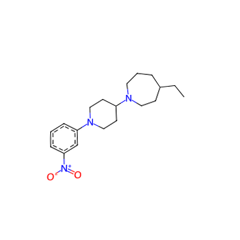 CCC1CCCN(C2CCN(c3cccc([N+](=O)[O-])c3)CC2)CC1